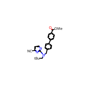 COC(=O)c1ccc(-c2ccc(CN(CC(C)(C)C)c3nccc(C#N)n3)cc2)cc1